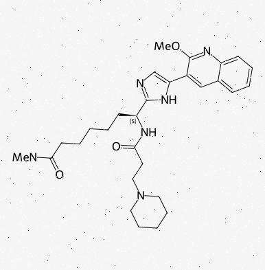 CNC(=O)CCCCC[C@H](NC(=O)CCN1CCCCC1)c1ncc(-c2cc3ccccc3nc2OC)[nH]1